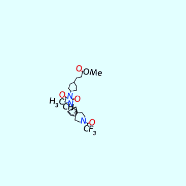 COC(=O)CCC1CCC(N2C(=O)N(c3ccc4c(c3)CCN(C(=O)C(F)(F)F)CC4)C(C)(C)C2=O)CC1